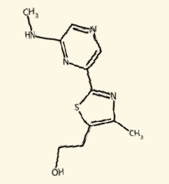 CNc1cncc(-c2nc(C)c(CCO)s2)n1